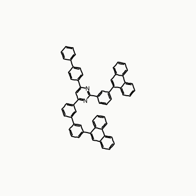 c1ccc(-c2ccc(-c3cc(-c4cccc(-c5cccc(-c6cc7ccccc7c7ccccc67)c5)c4)nc(-c4cccc(-c5cc6ccccc6c6ccccc56)c4)n3)cc2)cc1